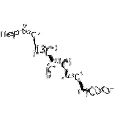 CCCCCCC[13CH2]C[13CH2]C[13CH2]C[13CH2]C[13C](=O)[O-].[K+]